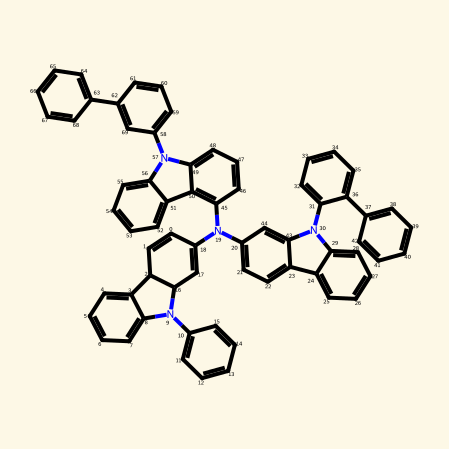 C1=CC2c3ccccc3N(c3ccccc3)C2C=C1N(c1ccc2c3ccccc3n(-c3ccccc3-c3ccccc3)c2c1)c1cccc2c1c1ccccc1n2-c1cccc(-c2ccccc2)c1